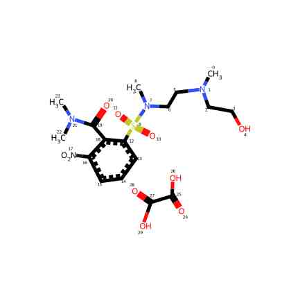 CN(CCO)CCN(C)S(=O)(=O)c1cccc([N+](=O)[O-])c1C(=O)N(C)C.O=C(O)C(=O)O